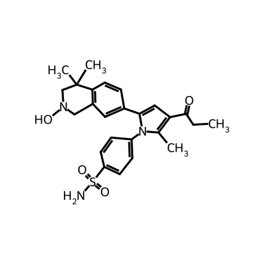 CCC(=O)c1cc(-c2ccc3c(c2)CN(O)CC3(C)C)n(-c2ccc(S(N)(=O)=O)cc2)c1C